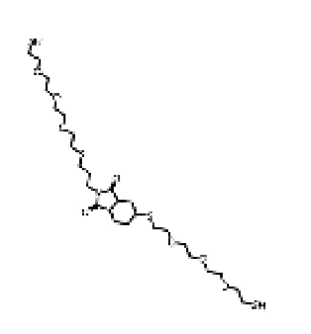 O=C1C2CCC(SCCOCCOCCOCCS)CC2C(=O)N1CCCSCCOCCOCCOCCS